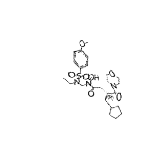 CCN(CN(O)C(=O)C[C@@H](CC1CCCC1)C(=O)N1CCOCC1)S(=O)(=O)c1ccc(OC)cc1